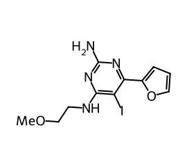 COCCNc1nc(N)nc(-c2ccco2)c1I